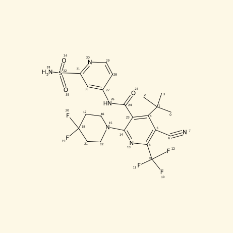 CC(C)(C)c1c(C#N)c(C(F)(F)F)nc(N2CCC(F)(F)CC2)c1C(=O)Nc1ccnc(S(N)(=O)=O)c1